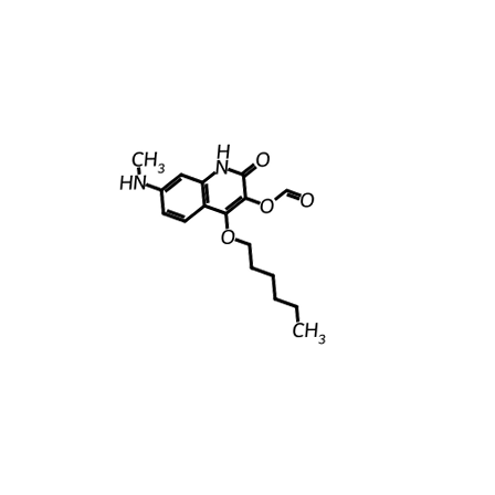 CCCCCCOc1c(OC=O)c(=O)[nH]c2cc(NC)ccc12